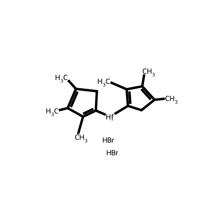 Br.Br.CC1=C(C)C(C)=[C]([Hf][C]2=C(C)C(C)=C(C)C2)C1